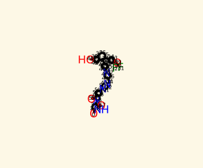 O=C1CCC(N2Cc3cc(N4CCN(CC5CCN(c6ccc(C7=C(c8ccc(OC(F)F)cc8)CCCc8cc(O)ccc87)cc6)CC5)CC4)ccc3C2=O)C(=O)N1